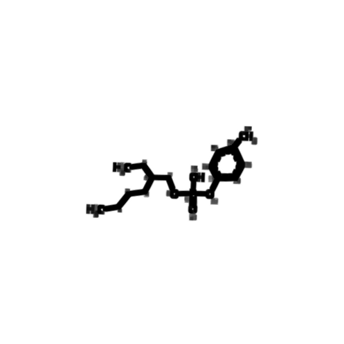 CCCCC(CC)COP(=O)(O)Oc1ccc(C)cc1